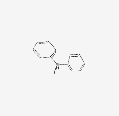 I[SiH](c1ccccc1)c1ccccc1